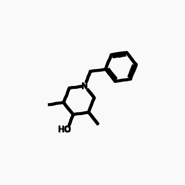 CC1CN(Cc2ccccc2)CC(C)C1O